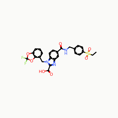 CCS(=O)(=O)c1ccc(CNC(=O)c2ccc3c(c2)nc(C(=O)O)n3Cc2cccc3c2OC(F)(F)O3)cc1